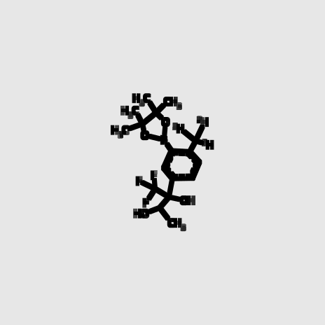 [2H]C([2H])([2H])c1ccc(C(O)(C(C)O)C(F)(F)F)cc1B1OC(C)(C)C(C)(C)O1